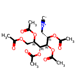 [C-]#[N+]C[C@H](OC(C)=O)[C@@H](OC(C)=O)[C@H](OC(C)=O)[C@@H](COC(C)=O)OC(C)=O